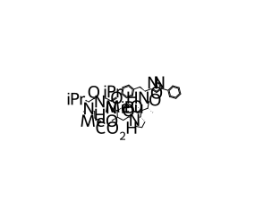 CC[C@H](C)C([C@@H](CC(=O)N1CCC[C@H]1[C@H](OC)[C@@H](C)C(=O)N[C@@H](Cc1ccccc1)c1nnc(-c2ccccc2)o1)OC)N(C)C(=O)[C@@H](NC(=O)[C@H](C(C)C)N(C)CCCC(=O)O)C(C)C